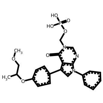 COCC(C)Oc1ccc(-c2cn(-c3ccccc3)c3ncn(COP(=O)(O)O)c(=O)c23)cc1